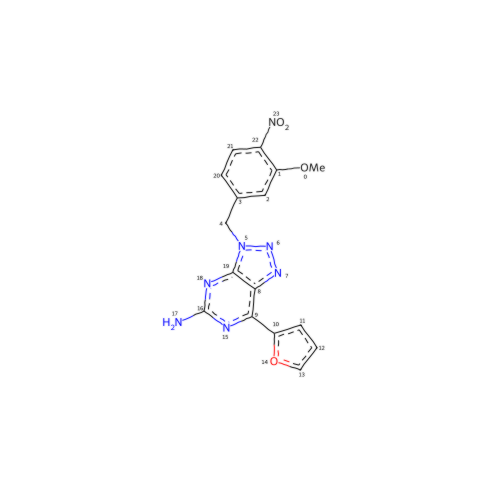 COc1cc(Cn2nnc3c(-c4ccco4)nc(N)nc32)ccc1[N+](=O)[O-]